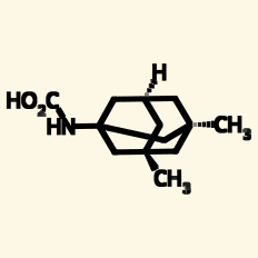 C[C@]12C[C@H]3CC(NC(=O)O)(C1)C[C@@](C)(C3)C2